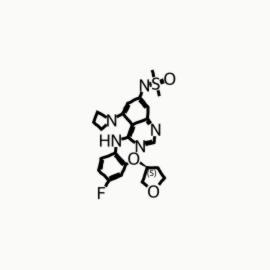 CS(C)(=O)=Nc1cc(N2CCC2)c2c(Nc3ccc(F)cc3O[C@H]3CCOC3)ncnc2c1